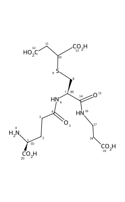 N[C@@H](CCC(=O)N[C@@H](CSC(CC(=O)O)C(=O)O)C(=O)NCCC(=O)O)C(=O)O